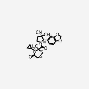 CC1(C(=O)N2CC[C@](C)(C#N)[C@@H]2c2ccc3c(c2)OCO3)SSCC(=O)N1C1CC1